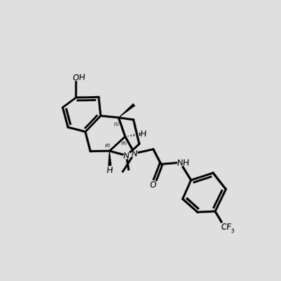 CN1CC[C@@]2(C)c3cc(O)ccc3C[C@@H]1[C@@H]2N(C)CC(=O)Nc1ccc(C(F)(F)F)cc1